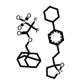 O=C(OCC12CC3CC(CC(C3)C1)C2)C(F)(F)S(=O)(=O)[O-].c1cc(C2CCCCC2)ccc1CCC12CCC[S+]1O2